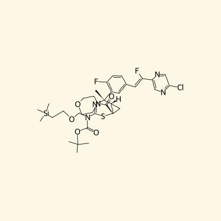 CC(C)(C)OC(=O)N(COCC[Si](C)(C)C)C1=N[C@](C)(c2cc(/C=C(\F)c3cnc(Cl)cn3)ccc2F)[C@@H]2C[C@]2(C(=O)N2CCOCC2)S1